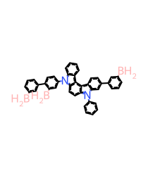 Bc1cccc(-c2ccc3c4c5c6ccccc6n(-c6ccc(-c7cccc(B)c7)c(B)c6)c5ccc4n(-c4ccccc4)c3c2)c1